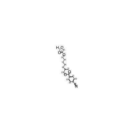 C=CC(=O)OCCCCCC1COC(c2ccc(C#N)cc2)OC1